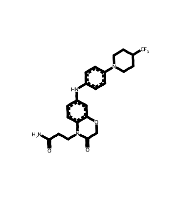 NC(=O)CCN1C(=O)COc2cc(Nc3ccc(N4CCC(C(F)(F)F)CC4)cc3)ccc21